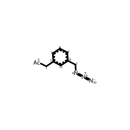 CC(=O)Cc1cccc(CN=[N+]=[N-])c1